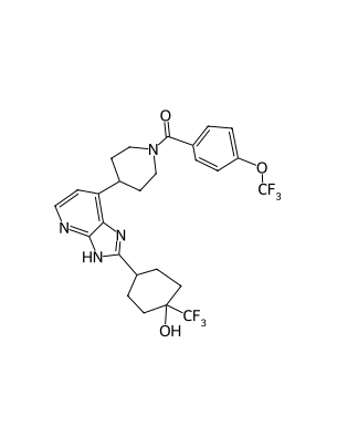 O=C(c1ccc(OC(F)(F)F)cc1)N1CCC(c2ccnc3[nH]c(C4CCC(O)(C(F)(F)F)CC4)nc23)CC1